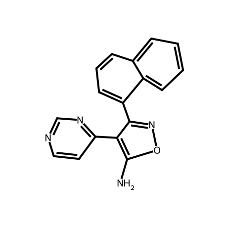 Nc1onc(-c2cccc3ccccc23)c1-c1ccncn1